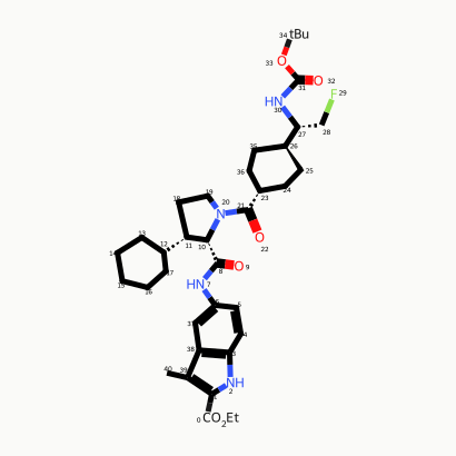 CCOC(=O)c1[nH]c2ccc(NC(=O)[C@@H]3[C@H](C4CCCCC4)CCN3C(=O)[C@H]3CC[C@H]([C@@H](CF)NC(=O)OC(C)(C)C)CC3)cc2c1C